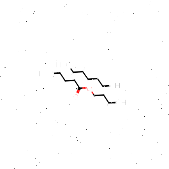 CCCCCCC.CCCCOC(=O)CCCC